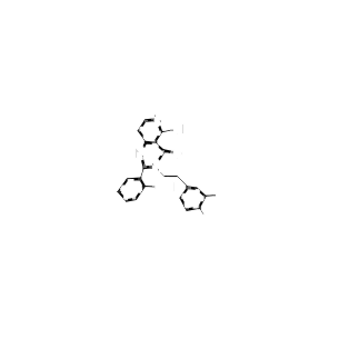 O=c1c2c(C(F)(F)F)nccc2nc(-c2ccccc2O)n1CCc1ccc(F)c(F)c1